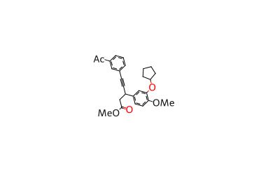 COC(=O)CC(C#Cc1cccc(C(C)=O)c1)c1ccc(OC)c(OC2CCCC2)c1